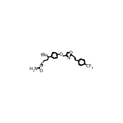 CC(C)(C)C(CCCOC(N)=O)c1ccc(OCc2coc(C=Cc3ccc(C(F)(F)F)cc3)n2)cc1